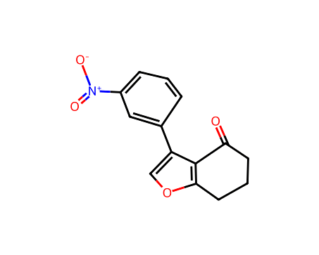 O=C1CCCc2occ(-c3cccc([N+](=O)[O-])c3)c21